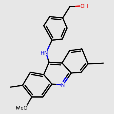 COc1cc2nc3cc(C)ccc3c(Nc3ccc(CO)cc3)c2cc1C